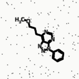 COCCCc1n[c]nc2c1nnn2-c1ccccc1